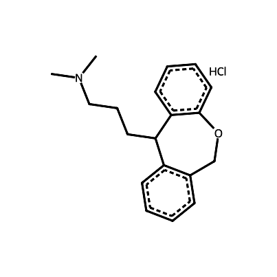 CN(C)CCCC1c2ccccc2COc2ccccc21.Cl